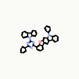 c1ccc(-c2nc(-c3cccc4c3oc3cc5c(cc34)c3ccccc3n5-c3ccccc3)nc(-n3c4ccccc4c4ccccc43)n2)cc1